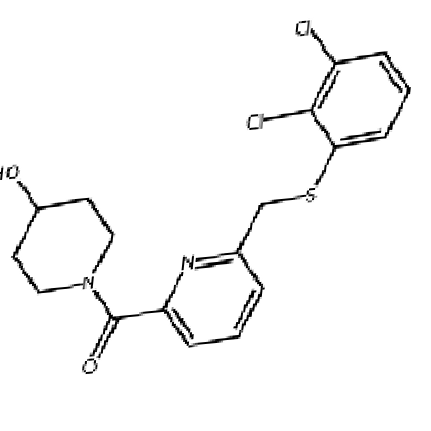 O=C(c1cccc(CSc2cccc(Cl)c2Cl)n1)N1CCC(O)CC1